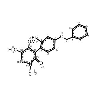 CCc1cc(OCc2ccccc2)ccc1-c1c(OC)c(C)nn(C)c1=O